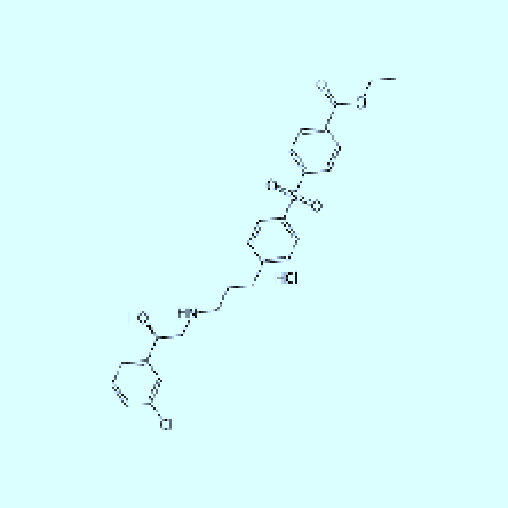 CCOC(=O)c1ccc(S(=O)(=O)c2ccc(CCCNC[C@H](O)c3cccc(Cl)c3)cc2)cc1.Cl